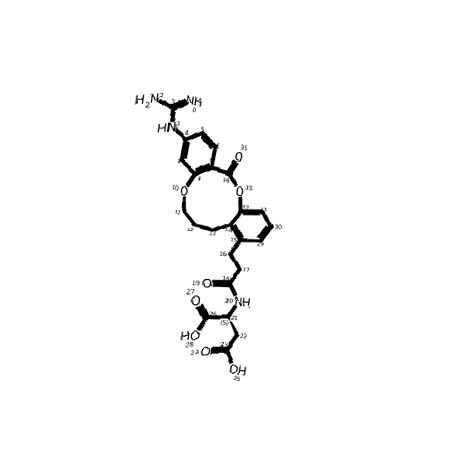 N=C(N)Nc1ccc2c(c1)OCCCc1c(CCC(=O)N[C@@H](CC(=O)O)C(=O)O)cccc1OC2=O